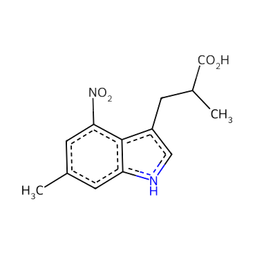 Cc1cc([N+](=O)[O-])c2c(CC(C)C(=O)O)c[nH]c2c1